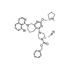 CN1CCC[C@H]1COc1nc2c(c(N3CCN(C(=O)OCc4ccccc4)[C@@H](CC#N)C3)n1)CCCN(c1nccc3cccc(Br)c13)C2